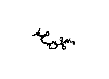 CN(C)C(=O)Cn1ccc(S(N)(=O)=O)n1